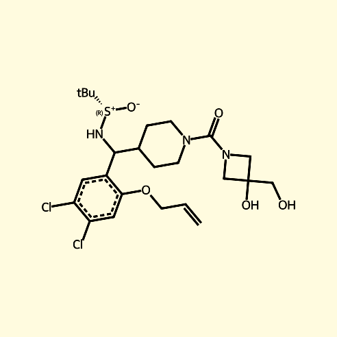 C=CCOc1cc(Cl)c(Cl)cc1C(N[S@@+]([O-])C(C)(C)C)C1CCN(C(=O)N2CC(O)(CO)C2)CC1